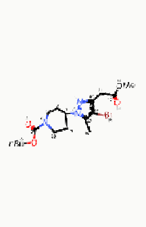 CCCCOC(=O)N1CCC(n2nc(CC(=O)OC)c(Br)c2C)CC1